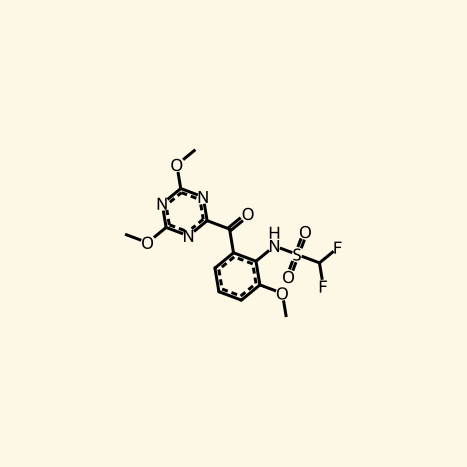 COc1nc(OC)nc(C(=O)c2cccc(OC)c2NS(=O)(=O)C(F)F)n1